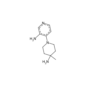 CC1(N)CCN(c2ccncc2N)CC1